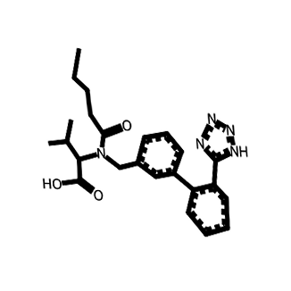 CCCCC(=O)N(Cc1cccc(-c2ccccc2-c2nnn[nH]2)c1)C(C(=O)O)C(C)C